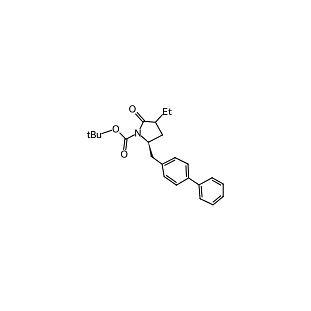 CCC1C[C@@H](Cc2ccc(-c3ccccc3)cc2)N(C(=O)OC(C)(C)C)C1=O